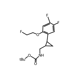 CC(C)(C)OC(=O)NCC1CC1c1cc(F)c(F)cc1OCCF